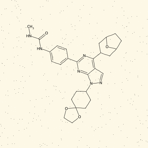 CNC(=O)Nc1ccc(-c2nc(C3CC4CCC(C3)O4)c3cnn(C4CCC5(CC4)OCCO5)c3n2)cc1